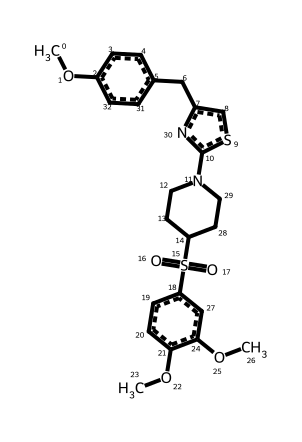 COc1ccc(Cc2csc(N3CCC(S(=O)(=O)c4ccc(OC)c(OC)c4)CC3)n2)cc1